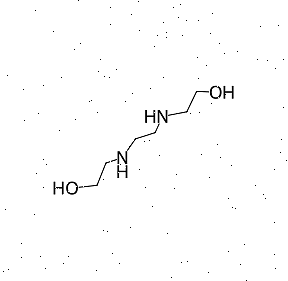 OCCNCCNCCO